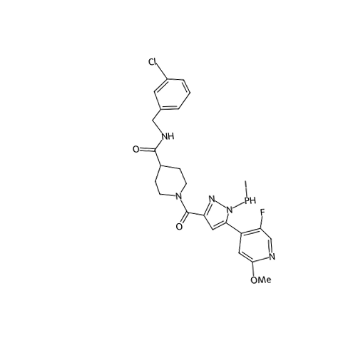 COc1cc(-c2cc(C(=O)N3CCC(C(=O)NCc4cccc(Cl)c4)CC3)nn2PI)c(F)cn1